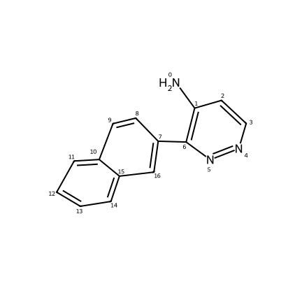 Nc1ccnnc1-c1ccc2ccccc2c1